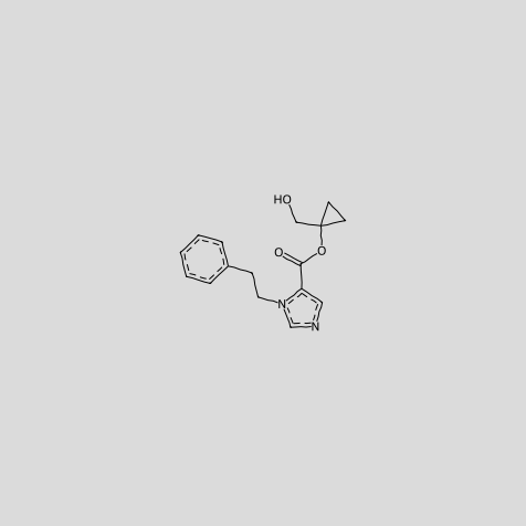 O=C(OC1(CO)CC1)c1cncn1CCc1ccccc1